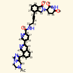 CC(=O)N1CCn2cnc(-c3cccc4cc(-c5ccc(C(=O)NCCC#Cc6cccc7c6CN(C6CCC(=O)NC6=O)C7=O)nc5)ncc34)c2C1